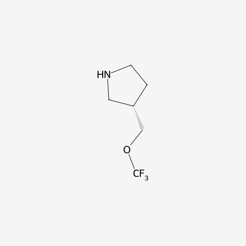 FC(F)(F)OC[C@H]1CCNC1